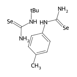 CC(C)(C)NC(N)=[Se].Cc1ccc(NC(N)=[Se])cc1